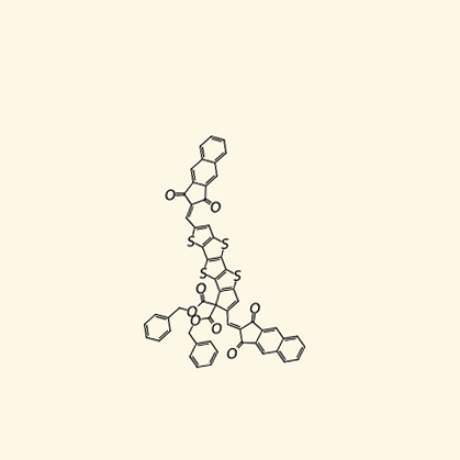 O=C1C(=CC2=Cc3sc4c(sc5c6sc(C=C7C(=O)c8cc9ccccc9cc8C7=O)cc6sc45)c3C2(C(=O)OCc2ccccc2)C(=O)OCc2ccccc2)C(=O)c2cc3ccccc3cc21